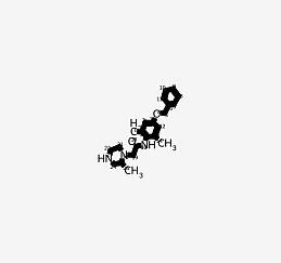 Cc1cc(OCc2ccccc2)cc(C)c1NC(=O)CN1CCNCC1C